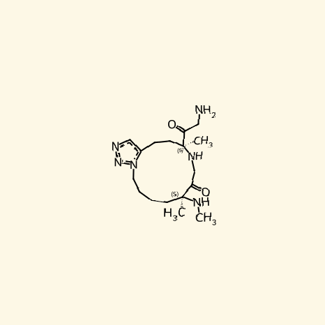 CN[C@@]1(C)CCCCn2nncc2CC[C@@](C)(C(=O)CN)NCC1=O